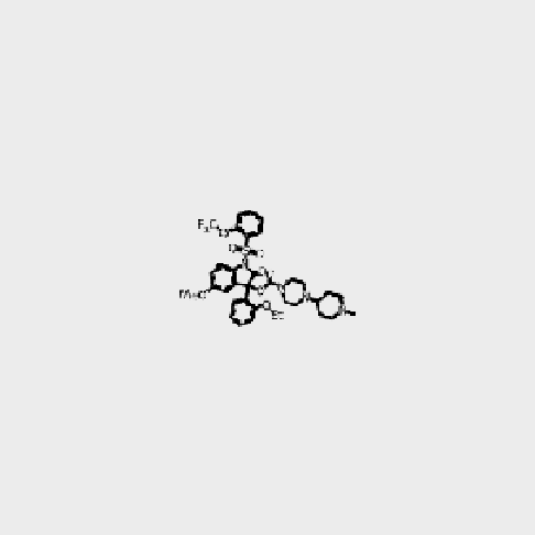 CCOc1ccccc1C1(OC(=O)N2CCN(C3CCN(C)CC3)CC2)C(=O)N(S(=O)(=O)c2ccccc2OC(F)(F)F)c2ccc(OC)cc21